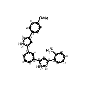 COc1ccc(-c2cc(-c3cccc(-c4cc(-c5ccccc5C)n[nH]4)c3)[nH]n2)cc1